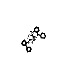 CN1C(=O)C(NC(=O)Nc2ccccc2-c2ccccc2)N=C(C2CCCCC2)c2ccccc21